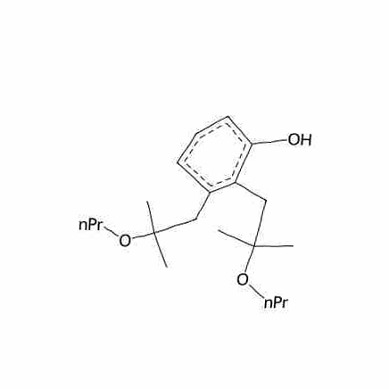 CCCOC(C)(C)Cc1cccc(O)c1CC(C)(C)OCCC